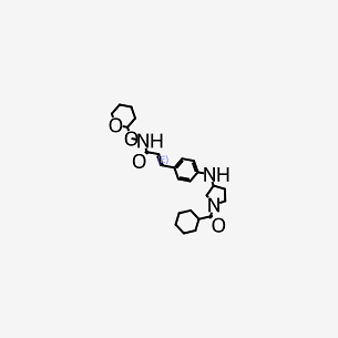 O=C(/C=C/c1ccc(NC2CCN(C(=O)C3CCCCC3)C2)cc1)NOC1CCCCO1